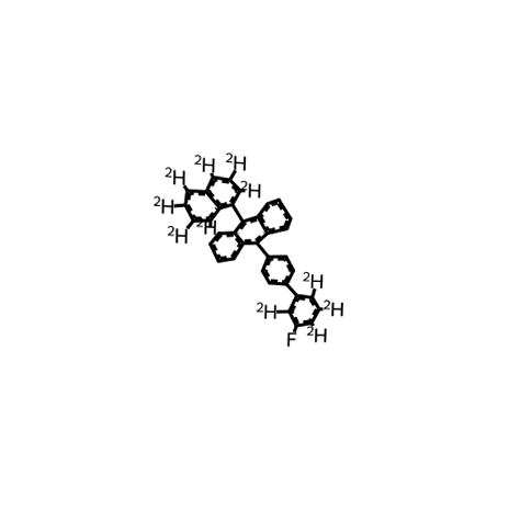 [2H]c1c([2H])c(F)c([2H])c(-c2ccc(-c3c4ccccc4c(-c4c([2H])c([2H])c([2H])c5c([2H])c([2H])c([2H])c([2H])c45)c4ccccc34)cc2)c1[2H]